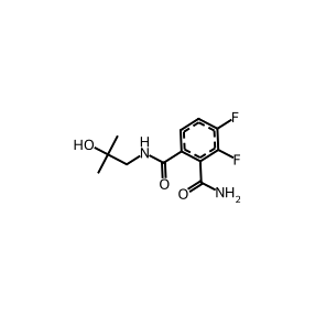 CC(C)(O)CNC(=O)c1ccc(F)c(F)c1C(N)=O